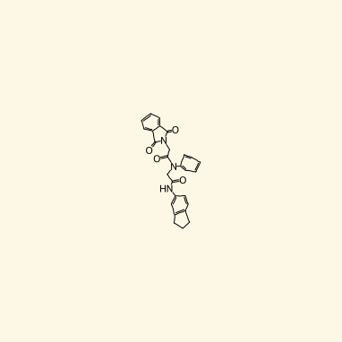 O=C(CN(C(=O)CN1C(=O)c2ccccc2C1=O)c1ccccc1)Nc1ccc2c(c1)CCC2